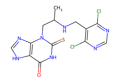 CC(Cn1c(=S)[nH]c(=O)c2[nH]cnc21)NCc1c(Cl)ncnc1Cl